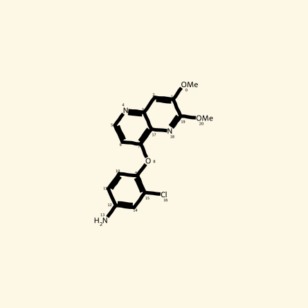 COc1cc2nccc(Oc3ccc(N)cc3Cl)c2nc1OC